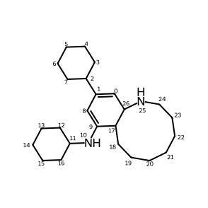 C1=C(C2CCCCC2)C=C(NC2CCCCC2)C2CCCCCCCNC12